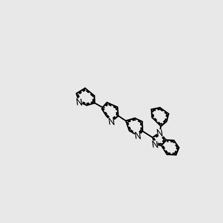 c1ccc(-n2c(-c3ccc(-c4ccc(-c5cccnc5)cn4)cn3)nc3ccccc32)cc1